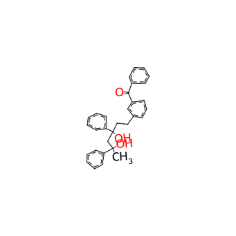 CC(O)(CC(O)(CCc1cccc(C(=O)c2ccccc2)c1)c1ccccc1)c1ccccc1